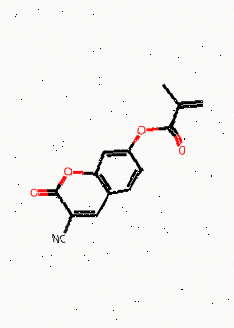 C=C(C)C(=O)Oc1ccc2cc(C#N)c(=O)oc2c1